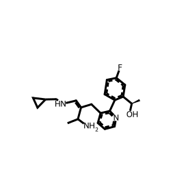 CC(N)/C(=C\NCC1CC1)Cc1cccnc1-c1ccc(F)cc1[C@@H](C)O